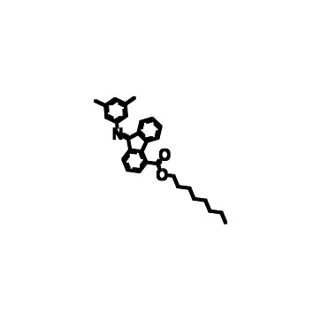 CCCCCCCCOC(=O)c1cccc2c1-c1ccccc1/C2=N\c1cc(C)cc(C)c1